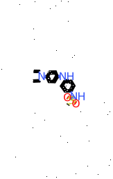 CCN(CC)c1ccc(Nc2ccc(NS(C)(=O)=O)cc2)cc1